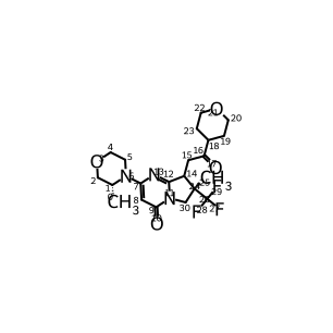 C[C@@H]1COCCN1c1cc(=O)n2c(n1)C(CC(=O)C1CCOCC1)[C@](C)(C(F)(F)F)C2